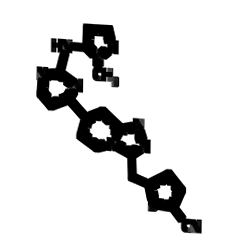 Cn1nccc1Nc1nccc(-c2ccn3c(Cc4ccc(C#N)s4)nnc3c2)n1